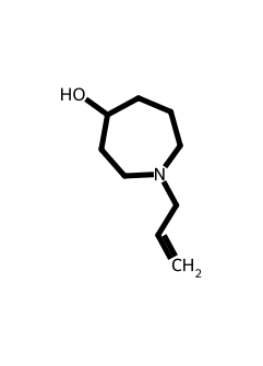 C=CCN1CCCC(O)CC1